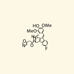 COc1cc(C=C2C(C)=C(CNC(=O)Cc3cnco3)c3cc(F)ccc32)cc(OC)c1O